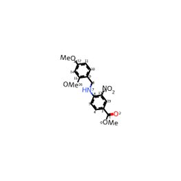 COC(=O)c1ccc(NCc2ccc(OC)cc2OC)c([N+](=O)[O-])c1